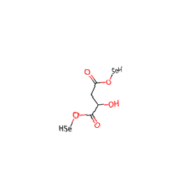 O=C(CC(O)C(=O)O[SeH])O[SeH]